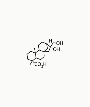 C[C@]12CCC[C@](C)(C(=O)O)C1CC[C@@]13C[C@@H](CCC12)[C@@](O)(CO)C3